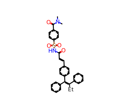 CC/C(=C(\c1ccccc1)c1ccc(/C=C/C(=O)NS(=O)(=O)c2ccc(C(=O)N(C)C)cc2)cc1)c1ccccc1